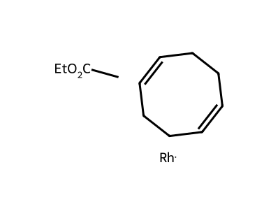 C1=CCCC=CCC1.CCOC(C)=O.[Rh]